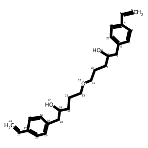 C=Cc1ccc(CC(O)CCCOCCCC(O)Cc2ccc(C=C)cc2)cc1